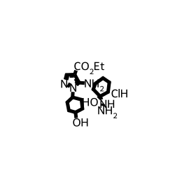 CCOC(=O)c1cnn(C2CCC(O)CC2)c1N.Cl.NNC1(O)CCCCC1